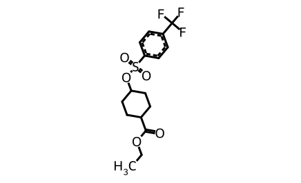 CCOC(=O)C1CCC(OS(=O)(=O)c2ccc(C(F)(F)F)cc2)CC1